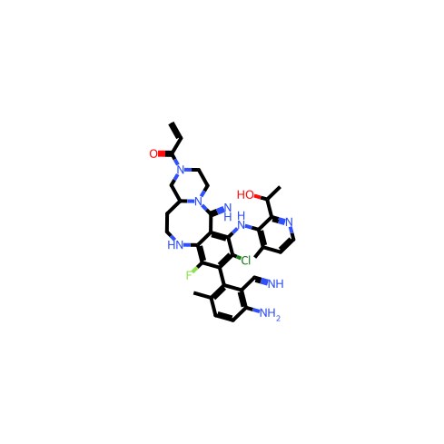 C=CC(=O)N1CCN2C(=N)c3c(c(F)c(-c4c(C)ccc(N)c4C=N)c(Cl)c3Nc3c(C)ccnc3C(C)O)NCCC2C1